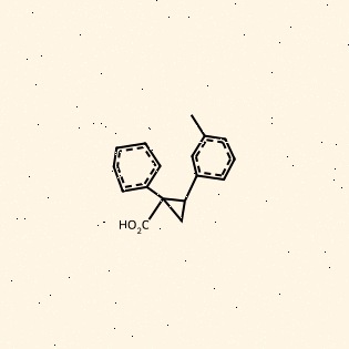 Cc1cccc(C2CC2(C(=O)O)c2ccccc2)c1